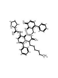 CCCCCCC(C(=O)NCC1=C(c2ccccc2)C=CC(=O)C1=O)n1c(-c2ccccc2)ncc(NC(=O)C2CCCO2)c1=O